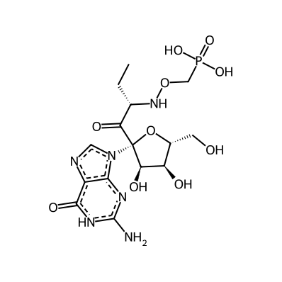 CC[C@H](NOCP(=O)(O)O)C(=O)[C@@]1(n2cnc3c(=O)[nH]c(N)nc32)O[C@H](CO)[C@@H](O)[C@H]1O